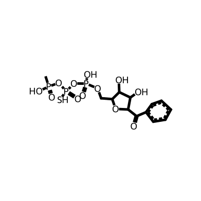 CP(=O)(O)OP(=O)(S)OP(=O)(O)OCC1OC(C(=O)c2ccccc2)C(O)C1O